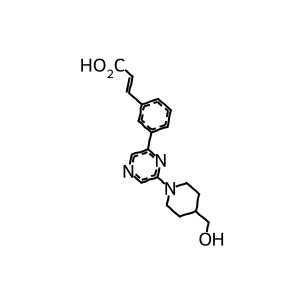 O=C(O)C=Cc1cccc(-c2cncc(N3CCC(CO)CC3)n2)c1